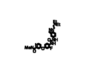 CCN(CC)CCn1ncc2cc(NC(=O)Nc3ccc(Oc4ccnc(C(=O)NC)c4)cc3F)ccc21